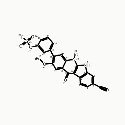 C#Cc1ccc2c(c1)[nH]c1c2c(=O)c2cc(OC(C)C)c(-c3cccc(OS(=O)(=O)F)c3)cc2n1CC